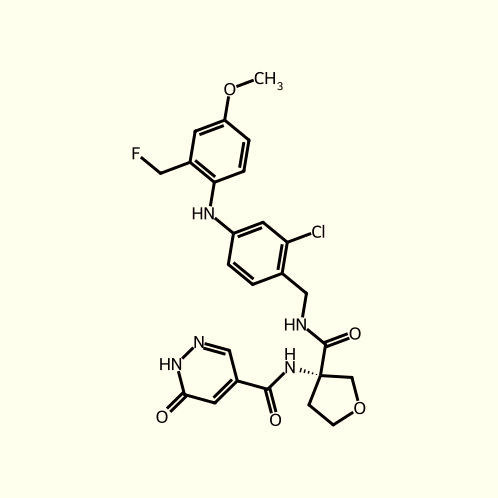 COc1ccc(Nc2ccc(CNC(=O)[C@]3(NC(=O)c4cn[nH]c(=O)c4)CCOC3)c(Cl)c2)c(CF)c1